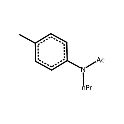 CCCN(C(C)=O)c1ccc(C)cc1